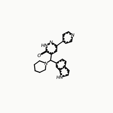 O=c1[nH]nc(-c2ccncc2)cc1C(c1ccc2cc[nH]c2c1)N1CCCCC1